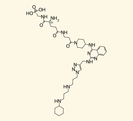 N[C@@H](CCC(=O)NCCC(=O)N1CCC(Nc2nc(NCc3cn(CCCNCCCNC4CCCCC4)nn3)nc3ccccc23)CC1)C(=O)NCP(=O)(O)O